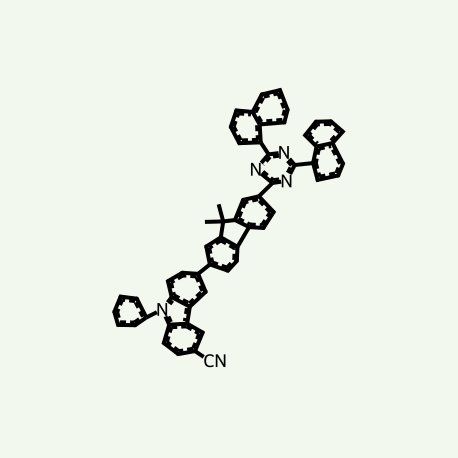 CC1(C)c2cc(-c3ccc4c(c3)c3cc(C#N)ccc3n4-c3ccccc3)ccc2-c2ccc(-c3nc(-c4cccc5ccccc45)nc(-c4cccc5ccccc45)n3)cc21